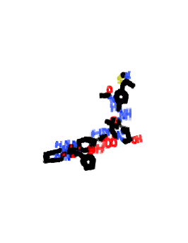 CC(=O)Nc1cc(-c2scnc2C)ccc1CNC(=O)[C@@H]1C[C@@H](O)CN1C(=O)[C@@H](NC(=O)[C@H]1CC[C@H](c2cnc(N3C4CCC3CN(c3cc(-c5ccccc5O)nnc3N)C4)nc2)CC1)C(C)(C)C